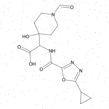 O=CN1CCC(O)(C(NC(=O)c2nnc(C3CC3)o2)C(=O)O)CC1